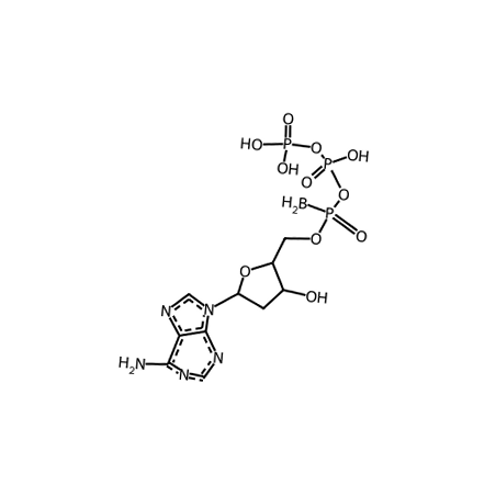 BP(=O)(OCC1OC(n2cnc3c(N)ncnc32)CC1O)OP(=O)(O)OP(=O)(O)O